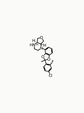 CC1(c2ccc(Cl)cc2F)Oc2cccc(N3CCN[C@H]4COC[C@H]43)c2O1